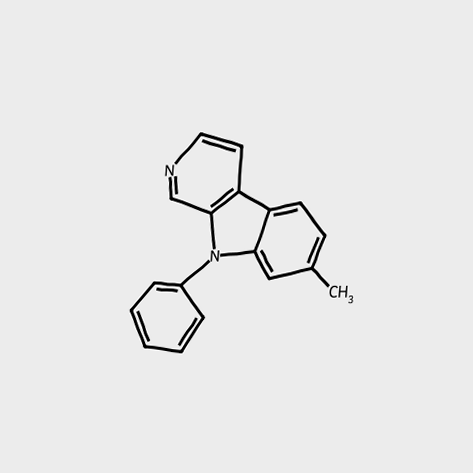 Cc1ccc2c3ccncc3n(-c3ccccc3)c2c1